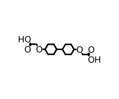 O=C(O)COC1CCC(C2CCC(OCC(=O)O)CC2)CC1